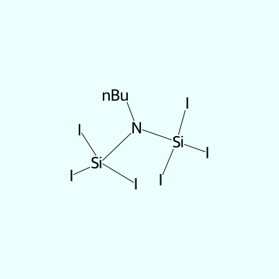 CCCCN([Si](I)(I)I)[Si](I)(I)I